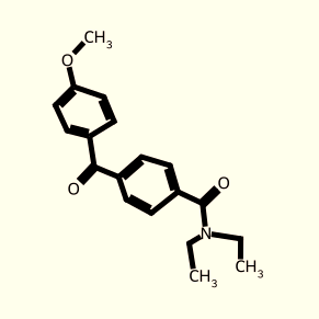 CCN(CC)C(=O)c1ccc(C(=O)c2ccc(OC)cc2)cc1